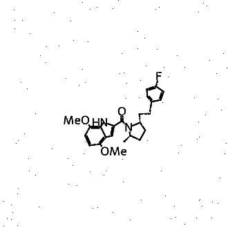 COc1ccc(OC)c2[nH]c(C(=O)N3[C@@H](CCc4ccc(F)cc4)CC[C@H]3C)cc12